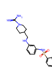 N=C(N)N1CCC(CNc2cccc(NS(=O)(=O)c3ccccc3)c2)CC1